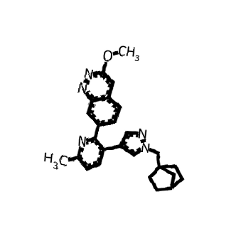 COc1cc2ccc(-c3nc(C)ccc3-c3cnn(CC45CCC(CC4)C5)c3)cc2nn1